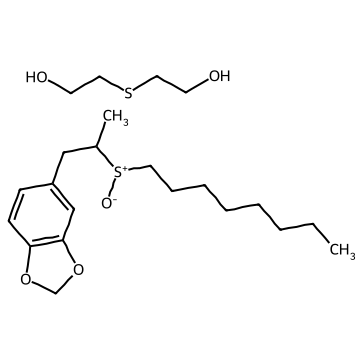 CCCCCCCC[S+]([O-])C(C)Cc1ccc2c(c1)OCO2.OCCSCCO